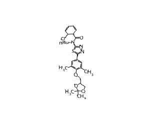 CCCCN(C(=O)C1C=CC=CC1Cl)c1nnc(-c2cc(C)c(OCC3COC(C)(C)O3)c(C)c2)s1